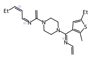 C=C/N=C(\c1cc(CC)sc1C)N1CCN(C(=C)/N=C\C=C/CC)CC1